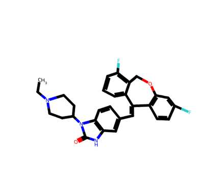 CCN1CCC(n2c(=O)[nH]c3cc(/C=C4/c5ccc(F)cc5OCc5c(F)cccc54)ccc32)CC1